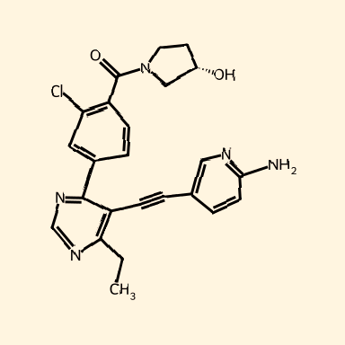 CCc1ncnc(-c2ccc(C(=O)N3CC[C@H](O)C3)c(Cl)c2)c1C#Cc1ccc(N)nc1